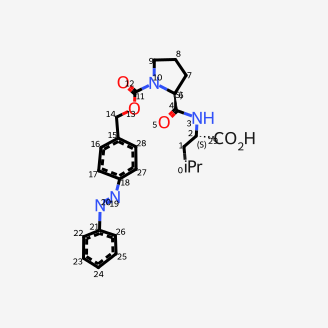 CC(C)C[C@H](NC(=O)[C@@H]1CCCN1C(=O)OCc1ccc(N=Nc2ccccc2)cc1)C(=O)O